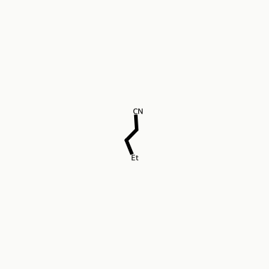 [CH2]CCCC#N